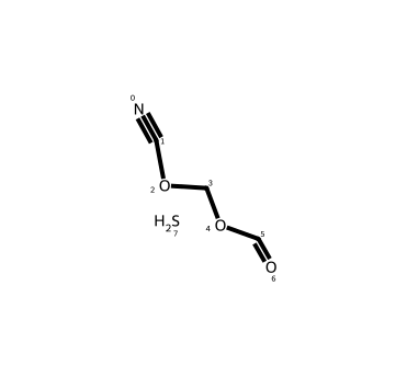 N#COCOC=O.S